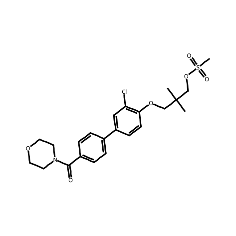 CC(C)(COc1ccc(-c2ccc(C(=O)N3CCOCC3)cc2)cc1Cl)COS(C)(=O)=O